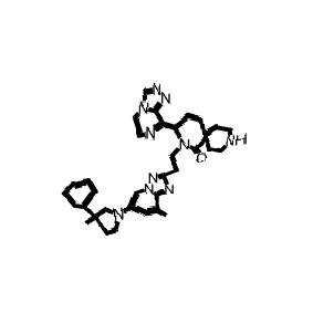 Cc1cc(N2CCC(C)(c3ccccc3)C2)cn2nc(CCN3C(=O)C4(CCNCC4)CCC3c3nccn4cnnc34)nc12